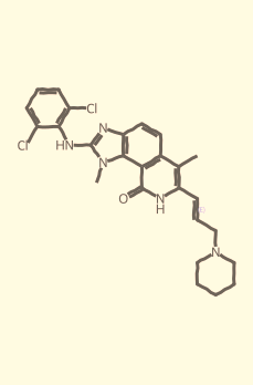 Cc1c(/C=C/CN2CCCCC2)[nH]c(=O)c2c1ccc1nc(Nc3c(Cl)cccc3Cl)n(C)c12